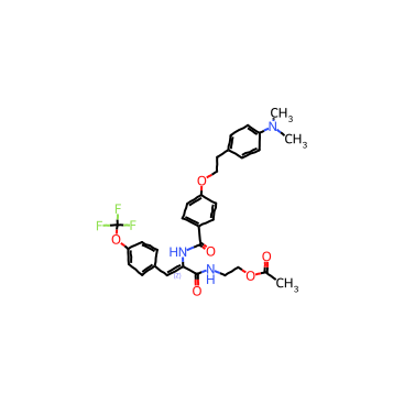 CC(=O)OCCNC(=O)/C(=C/c1ccc(OC(F)(F)F)cc1)NC(=O)c1ccc(OCCc2ccc(N(C)C)cc2)cc1